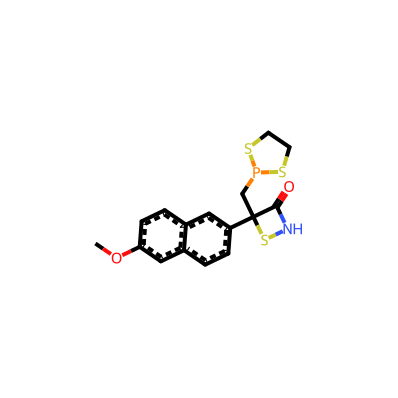 COc1ccc2cc(C3(CP4SCCS4)SNC3=O)ccc2c1